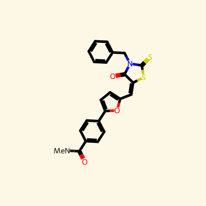 CNC(=O)c1ccc(-c2ccc(/C=C3/SC(=S)N(Cc4ccccc4)C3=O)o2)cc1